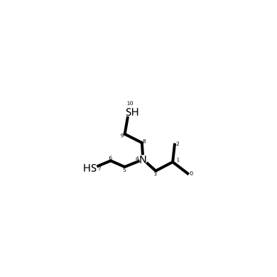 CC(C)CN(CCS)CCS